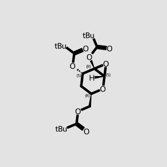 CC(C)(C)C(=O)OC[C@H]1C[C@H](OC(=O)C(C)(C)C)[C@]2(OC(=O)C(C)(C)C)O[C@@H]2O1